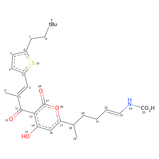 CC(=Cc1ccc(CCC(C)(C)C)s1)C(=O)c1c(O)cc(C(C)CCC=CNC(=O)O)oc1=O